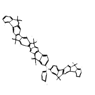 CC1(C)c2ccccc2-c2cc3c(cc21)-c1ccc(N(c2ccccc2)c2ccc4c(c2)C(C)(C)c2cc5c(cc2-4)C(C)(C)c2cc4c(cc2-5)C(C)(C)c2cc5c(cc2-4)C(C)(C)c2ccccc2-5)cc1C3(C)C